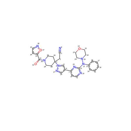 N#CCC1(n2cc(-c3ccnc(N(c4ccccc4)N4CCOCC4)n3)cn2)CCN(C(=O)c2ccno2)CC1